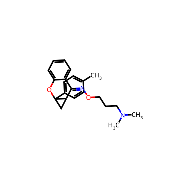 Cc1ccc(C23CC2C(=NOCCCN(C)C)c2ccccc2O3)cc1